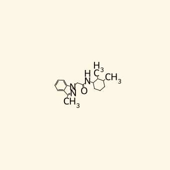 Cc1nn(CC(=O)NC2CCCC(C)C2C)c2ccccc12